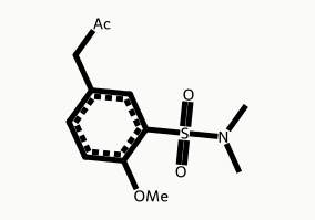 COc1ccc(CC(C)=O)cc1S(=O)(=O)N(C)C